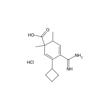 CC1C=C(C(=N)N)C(C2CCC2)=CC1(C)C(=O)O.Cl